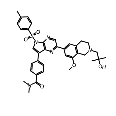 COc1cc(-c2cnc3c(n2)c(-c2ccc(C(=O)N(C)C)cc2)cn3S(=O)(=O)c2ccc(C)cc2)cc2c1CN(CC(C)(C)O)CC2